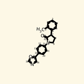 Cc1ccccc1C1CCN(c2ccc(-c3cnco3)cc2)C1=O